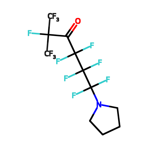 O=C(C(F)(F)C(F)(F)C(F)(F)N1CCCC1)C(F)(C(F)(F)F)C(F)(F)F